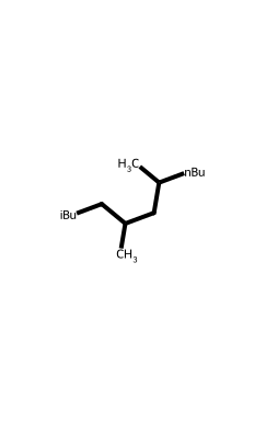 C[CH]CCC(C)CC(C)CC(C)CC